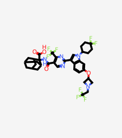 O=C(NC1(C(=O)O)C2CC3CC(C2)CC1C3)c1cnc(-c2cn(C3CCC(F)(F)CC3)c3cc(OC4CN(CC(F)(F)F)C4)ccc23)nc1C(F)(F)F